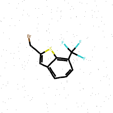 FC(F)(F)c1cccc2cc(CBr)sc12